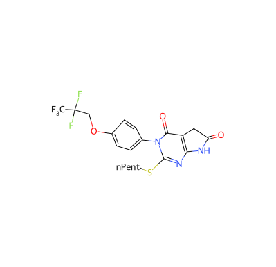 CCCCCSc1nc2c(c(=O)n1-c1ccc(OCC(F)(F)C(F)(F)F)cc1)CC(=O)N2